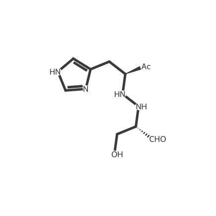 CC(=O)[C@H](Cc1c[nH]cn1)NN[C@H](C=O)CO